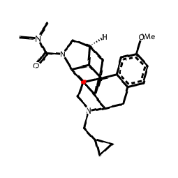 COc1ccc2c(c1)C13CCN(CC4CC4)C(C2)C12CCC1C3[C@@H](CN1C(=O)N(C)C)C2